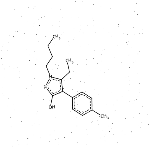 CCCCn1nc(O)c(-c2ccc(C)cc2)c1CC